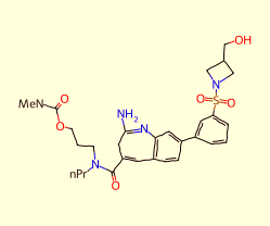 CCCN(CCCOC(=O)NC)C(=O)C1=Cc2ccc(-c3cccc(S(=O)(=O)N4CC(CO)C4)c3)cc2N=C(N)C1